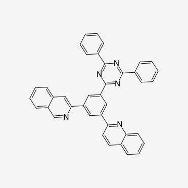 c1ccc(-c2nc(-c3ccccc3)nc(-c3cc(-c4cc5ccccc5cn4)cc(-c4ccc5ccccc5n4)c3)n2)cc1